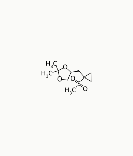 CC1(C)OC[C@H](CC2(S(C)(=O)=O)CC2)O1